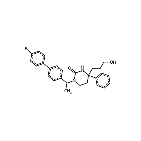 CC(c1ccc(-c2ccc(F)cc2)cc1)N1CCC(CCCO)(c2ccccc2)NC1=O